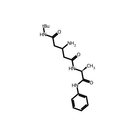 C[C@H](NC(=O)CC(N)CC(=O)NC(C)(C)C)C(=O)Nc1ccccc1